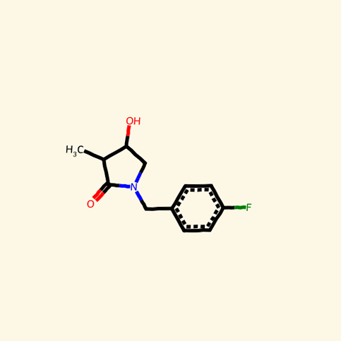 CC1C(=O)N(Cc2ccc(F)cc2)CC1O